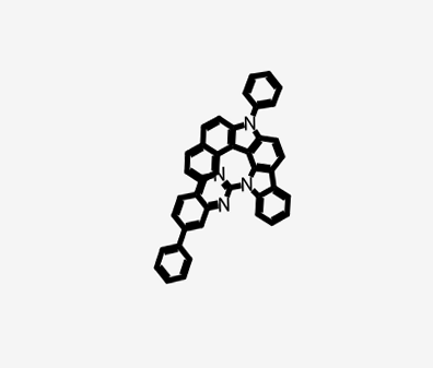 c1ccc(-c2ccc3cnc(-n4c5ccccc5c5ccc6c(c7c8ccccc8ccc7n6-c6ccccc6)c54)nc3c2)cc1